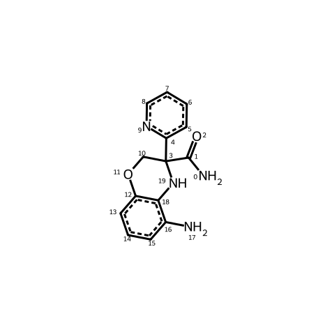 NC(=O)C1(c2ccccn2)COc2cccc(N)c2N1